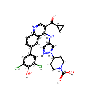 O=C(c1cnc2ccc(-c3cc(Cl)c(O)c(Cl)c3)cc2c1Nc1cnn(C2CCN(C(=O)O)CC2)c1)C1CC1